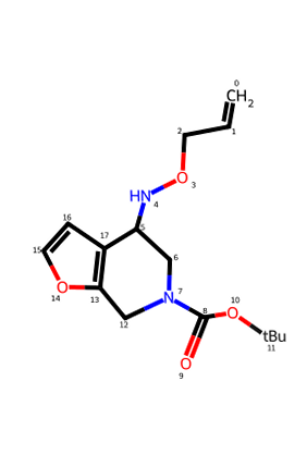 C=CCONC1CN(C(=O)OC(C)(C)C)Cc2occc21